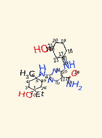 CCC1(O)CCC(C)(Nc2ncc(C(N)=O)c(N[C@@H]3CCC[C@H](O)C3)n2)CC1